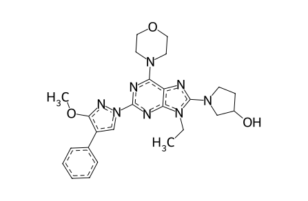 CCn1c(N2CCC(O)C2)nc2c(N3CCOCC3)nc(-n3cc(-c4ccccc4)c(OC)n3)nc21